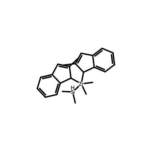 CC1=Cc2ccccc2[CH]1[Zr]([CH3])([CH3])([CH]1C(C)=Cc2ccccc21)[SiH](C)C